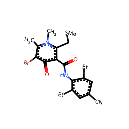 CCc1cc(C#N)cc(CC)c1NC(=O)c1c(CSC)n(C)c(C)c(Br)c1=O